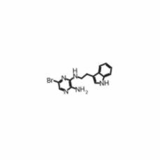 Nc1ncc(Br)nc1NCCc1c[nH]c2ccccc12